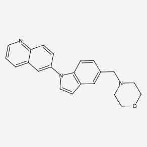 c1cnc2ccc(-n3ccc4cc(CN5CCOCC5)ccc43)cc2c1